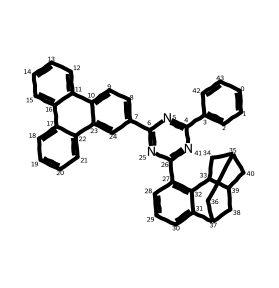 c1ccc(-c2nc(-c3ccc4c5ccccc5c5ccccc5c4c3)nc(-c3cccc4c3C3CC5CC4CC3C5)n2)cc1